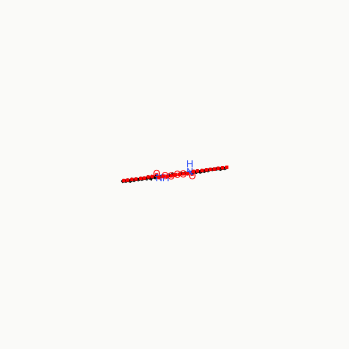 CCCCCCCCCCCCCCCCCC(=O)NCCOCCOCCOCCOCCNC(=O)CCCCCCCCCCCCCCCCC